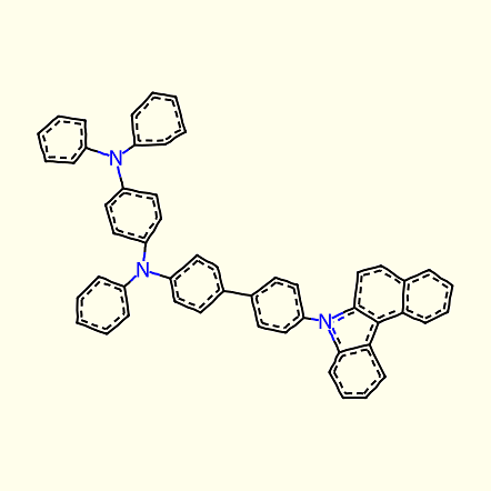 c1ccc(N(c2ccccc2)c2ccc(N(c3ccccc3)c3ccc(-c4ccc(-n5c6ccccc6c6c7ccccc7ccc65)cc4)cc3)cc2)cc1